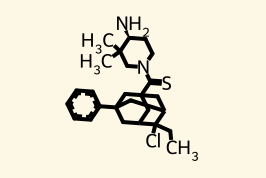 CCC1(Cl)C2CC3(C(=S)N4CC[C@H](N)C(C)(C)C4)CC1CC(c1ccccc1)(C2)C3